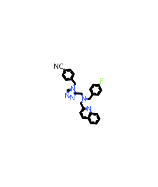 N#Cc1ccc(Cn2cnnc2CN(Cc2ccc(F)cc2)Cc2ccc3ccccc3n2)cc1